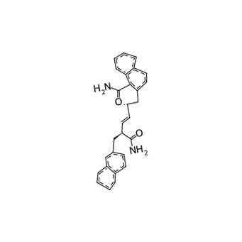 NC(=O)c1c(C[CH]/C=C/[C@H](Cc2ccc3ccccc3c2)C(N)=O)ccc2ccccc12